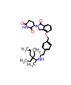 C=CCC(CC)(CC)C(C)NCCc1ccc(CSc2cccc3c2CN(C2CCC(=O)NC2=O)C3=O)cc1